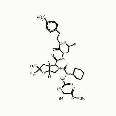 CC(C)[C@H](NC(=O)N[C@H](C(=O)N1C[C@@H]2OC(C)(C)C[C@@H]2[C@H]1C(=O)N[C@@H](CC(F)F)C(=O)NCCc1ccc(C(=O)O)cc1)C1CCCCC1)C(=O)OC(C)(C)C